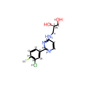 OC[C@H](O)CNc1ccnc(-c2ccc(F)c(Cl)c2)n1